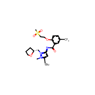 Cn1c(C(C)(C)C)cc(=NC(=O)c2cc(C(F)(F)F)ccc2OCCS(C)(=O)=O)n1C[C@H]1CCCO1